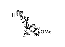 COc1ncc(-c2cc(OCC(F)(F)COC(=O)NC(C)C)nc(C)n2)c(OC)n1